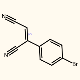 N#C/C=C(\C#N)c1ccc(Br)cc1